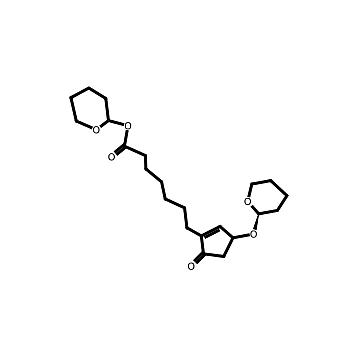 O=C(CCCCCCC1=CC(O[C@@H]2CCCCO2)CC1=O)OC1CCCCO1